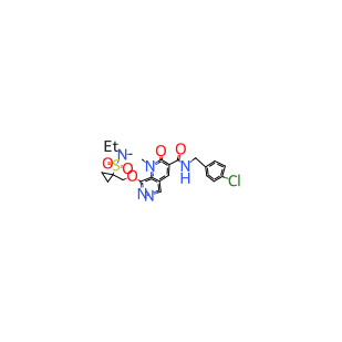 CCN(C)S(=O)(=O)C1(COc2nncc3cc(C(=O)NCc4ccc(Cl)cc4)c(=O)n(C)c23)CC1